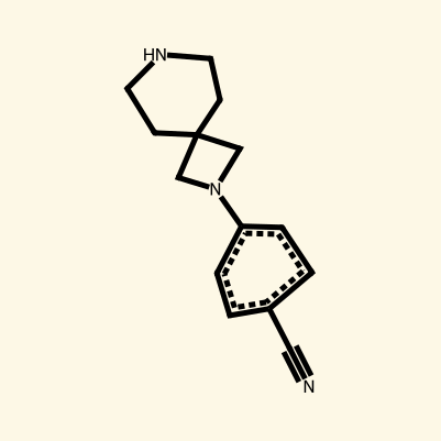 N#Cc1ccc(N2CC3(CCNCC3)C2)cc1